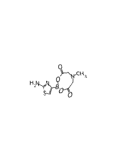 CN1CC(=O)OB(c2csc(N)n2)OC(=O)C1